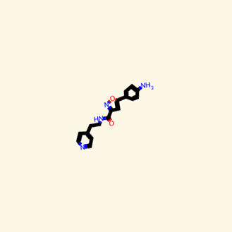 Nc1ccc(-c2cc(C(=O)NCCc3ccncc3)no2)cc1